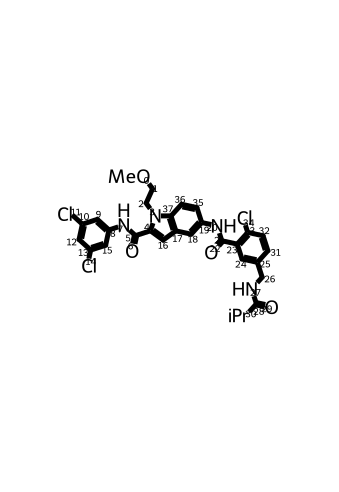 COCCn1c(C(=O)Nc2cc(Cl)cc(Cl)c2)cc2cc(NC(=O)c3cc(CNC(=O)C(C)C)ccc3Cl)ccc21